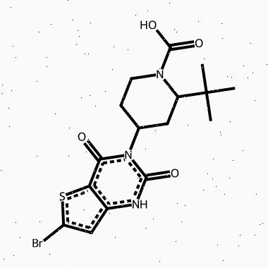 CC(C)(C)C1CC(n2c(=O)[nH]c3cc(Br)sc3c2=O)CCN1C(=O)O